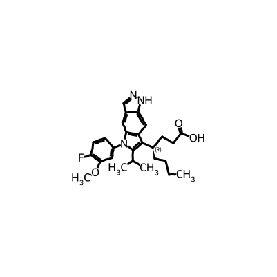 CCCC[C@H](CCC(=O)O)c1c(C(C)C)n(-c2ccc(F)c(OC)c2)c2cc3cn[nH]c3cc12